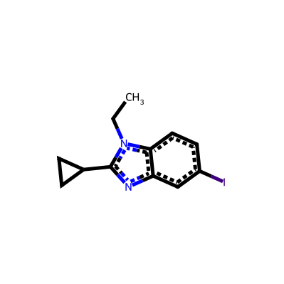 CCn1c(C2CC2)nc2cc(I)ccc21